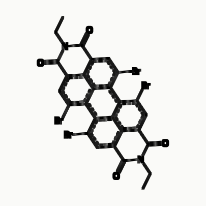 CCN1C(=O)c2cc(Br)c3c4c(Br)cc5c6c(cc(Br)c(c7c(Br)cc(c2c37)C1=O)c64)C(=O)N(CC)C5=O